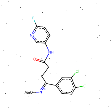 CO/N=C(\CCC(=O)Nc1ccc(F)nc1)c1ccc(Cl)c(Cl)c1